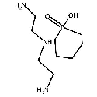 NCCNCCN.O=P1(O)CCCCC1